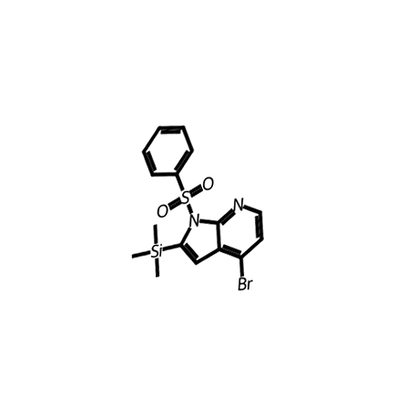 C[Si](C)(C)c1cc2c(Br)ccnc2n1S(=O)(=O)c1ccccc1